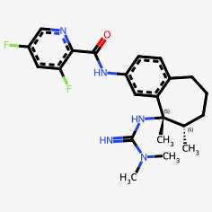 C[C@H]1CCCc2ccc(NC(=O)c3ncc(F)cc3F)cc2[C@@]1(C)NC(=N)N(C)C